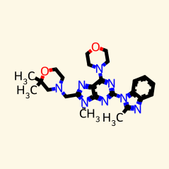 Cc1nc2ccccc2n1-c1nc(N2CCOCC2)c2nc(CN3CCOC(C)(C)C3)n(C)c2n1